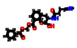 N#CCCC(=O)NC1Cc2cccc(C(=O)OCOC(=O)c3ccccc3)c2OB1O